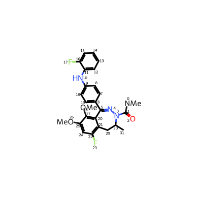 CNC(=O)N1N=C(c2ccc(Nc3ccccc3F)cc2)c2c(c(F)cc(OC)c2OC)CC1C